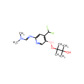 CN(C)/C=N/c1cc(C(F)F)c(BOC(C)(C)C(C)(C)O)cn1